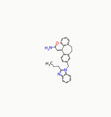 CCCc1nc2ccccc2n1Cc1ccc2c(c1)CCc1ccccc1C2=CC(N)=O